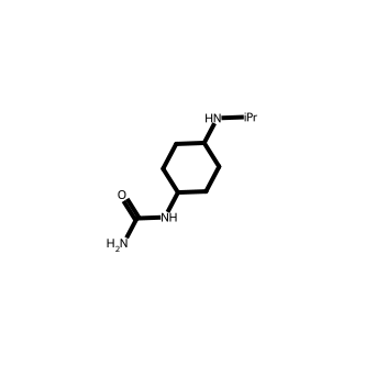 CC(C)NC1CCC(NC(N)=O)CC1